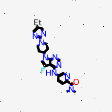 CCc1cnc(N2CCC(n3cc(F)c4c(Nc5ccc(C(=O)N(C)C)nc5)ncnc43)CC2)nc1